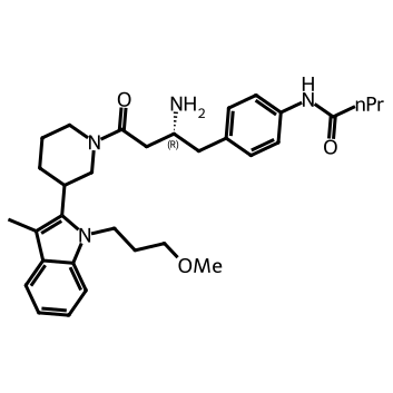 CCCC(=O)Nc1ccc(C[C@@H](N)CC(=O)N2CCCC(c3c(C)c4ccccc4n3CCCOC)C2)cc1